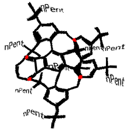 CCCCCC(C)(C)c1cc2c(c(C(C)(C)CCCCC)c1)-c1c3c(c4c(c1-c1c(cc(C(C)(C)CCCCC)cc1C(C)(C)CCCCC)C2)-c1c(cc(C(C)(C)CCCCC)cc1C(C)(C)CCCCC)Cc1cc(C(C)(C)CCCCC)cc(C(C)(C)CCCCC)c1-4)-c1ccccc1-3